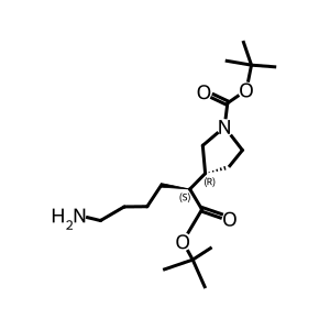 CC(C)(C)OC(=O)[C@@H](CCCCN)[C@H]1CCN(C(=O)OC(C)(C)C)C1